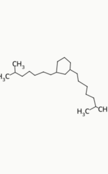 CC(C)CCCCCC1CCCC(CCCCCC(C)C)C1